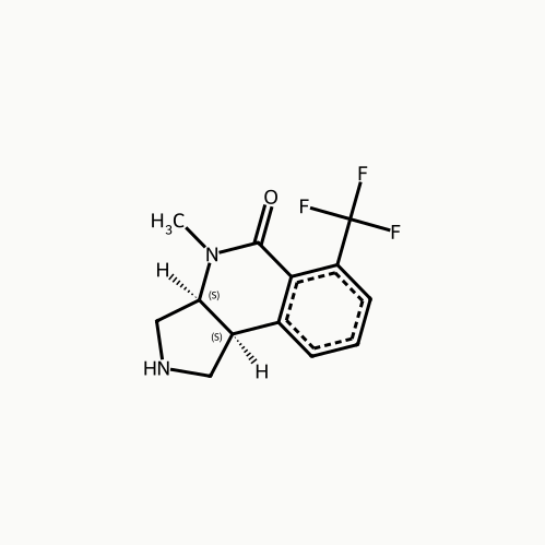 CN1C(=O)c2c(cccc2C(F)(F)F)[C@H]2CNC[C@H]21